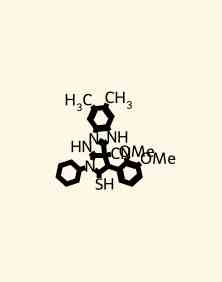 COc1cccc(C2C(S)N(C3CCCCC3)C(=N)C2(C#N)c2nc3cc(C)c(C)cc3[nH]2)c1OC